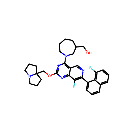 OCC1CCCCN(c2nc(OCC34CCCN3CCC4)nc3c(F)c(-c4cccc5cccc(F)c45)ncc23)C1